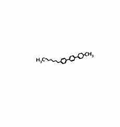 CCCCCCCc1ccc(-c2ccc(C3=CCC(C)CC3)cc2)cc1